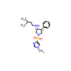 CC(C)CCN[C@H]1CN(S(=O)(=O)c2cn(C)cn2)C[C@@H]1c1ccccc1